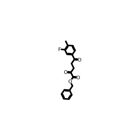 Cc1ccc(C(=O)CCC(=O)C(=O)OCc2ccccc2)cc1F